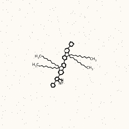 CCCCCCCCCCC1(CCCCCCCCCC)c2cc(-c3ccccc3)ccc2-c2ccc(-c3ccc4c(c3)C(CCCCCCCCCC)(CCCCCCCCCC)c3cc(-c5ccc(-c6ccccc6)c6nsnc56)ccc3-4)cc21